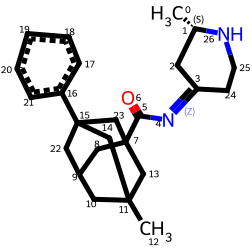 C[C@H]1C/C(=N\C(=O)C23CC4CC(C)(C2)CC(c2ccccc2)(C4)C3)CCN1